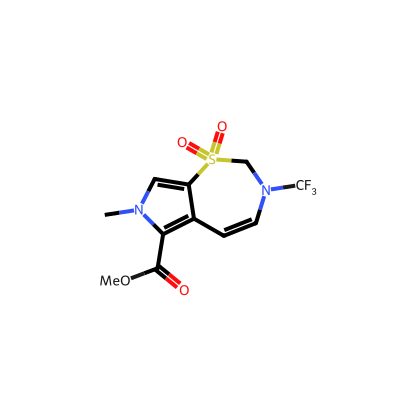 COC(=O)c1c2c(cn1C)S(=O)(=O)CN(C(F)(F)F)C=C2